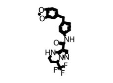 O=C(Nc1ccc(Cc2ccc3c(c2)OCO3)cc1)c1cnn2c1NCCC2C(F)(F)F